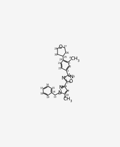 Cc1cc(-c2noc(-c3cc(C)n(Cc4c[c]ccc4)n3)n2)ccc1C1CCOCC1